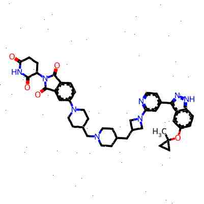 CC1(Oc2ccc3[nH]nc(-c4ccnc(N5CC(CC6CCN(CC7CCN(c8ccc9c(c8)C(=O)N(C8CCC(=O)NC8=O)C9=O)CC7)CC6)C5)c4)c3c2)CC1